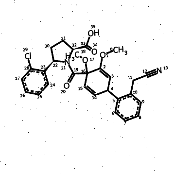 COC1=CC(c2ccccc2CC#N)C=CC1(OC)C(=O)N1[C@@H](c2ccccc2Cl)CC[C@H]1C(=O)O